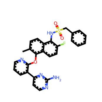 Cc1ccc2c(NS(=O)(=O)Cc3ccccc3)c(F)ccc2c1Oc1ncccc1-c1ccnc(N)n1